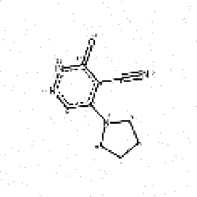 N#Cc1c(N2C[CH]CC2)cn[nH]c1=O